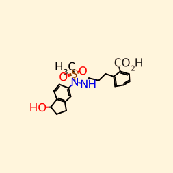 CS(=O)(=O)N(NCCCc1ccccc1C(=O)O)c1ccc2c(c1)CCC2O